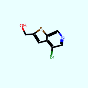 OCc1cc2c(Br)cncc2s1